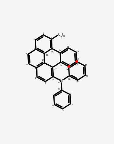 Cc1ccc2ccc3ccc(N(c4ccccc4)c4ccccc4)c4c5ccccc5c1c2c34